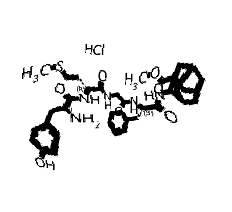 COC(=O)C12CC3CC(CC(C3)C1NC(=O)[C@H](Cc1ccccc1)NC(=O)CNC(=O)[C@@H](CCSC)NC(=O)[C@@H](N)Cc1ccc(O)cc1)C2.Cl